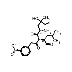 CC(C)C[C@@H]([C]=O)N(C(=O)Cc1cccc([N+](=O)[O-])c1)C(=O)[C@@H](N)CC(C)(O)CI